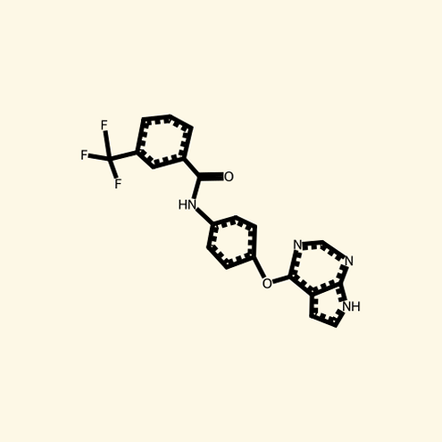 O=C(Nc1ccc(Oc2ncnc3[nH]ccc23)cc1)c1cccc(C(F)(F)F)c1